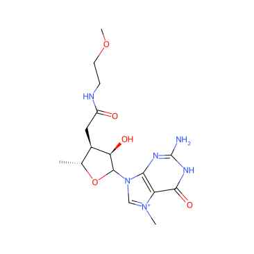 COCCNC(=O)C[C@@H]1[C@@H](C)OC(n2c[n+](C)c3c(=O)[nH]c(N)nc32)[C@@H]1O